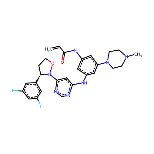 C=CC(=O)Nc1cc(Nc2cc(N3OCC[C@@H]3c3cc(F)cc(F)c3)ncn2)cc(N2CCN(C)CC2)c1